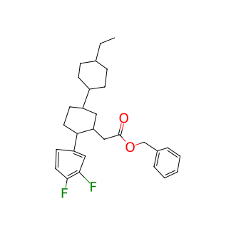 CCC1CCC(C2CCC(c3ccc(F)c(F)c3)C(CC(=O)OCc3ccccc3)C2)CC1